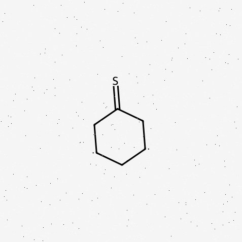 S=C1C[CH]C[CH]C1